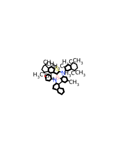 Cc1cc2c3c(c1)N(c1cc4c(cc1C)C(C)(C)CCC4(C)C)c1sc4cc5c(cc4c1B3N(c1ccccc1)c1ccc3ccccc3c1-2)C(C)(C)CCC5(C)C